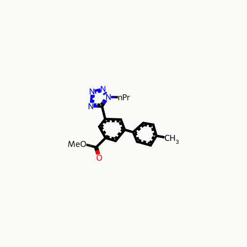 CCCn1nnnc1-c1cc(C(=O)OC)cc(-c2ccc(C)cc2)c1